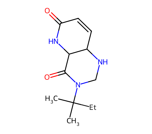 CCC(C)(C)N1CNC2C=CC(=O)NC2C1=O